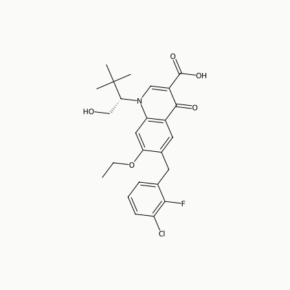 CCOc1cc2c(cc1Cc1cccc(Cl)c1F)c(=O)c(C(=O)O)cn2[C@H](CO)C(C)(C)C